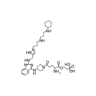 N[C@@H](CCC(=O)N1CCC(Nc2nc(NCc3cn(CCCNCCCNC4CCCCC4)[nH]3)nc3ccccc23)CC1)C(=O)OCCP(=O)(O)O